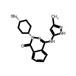 Cc1cc(Nc2nn([C@H]3CC[C@@H](C(C)(C)C)CC3)c(=O)c3ccccc23)[nH]n1